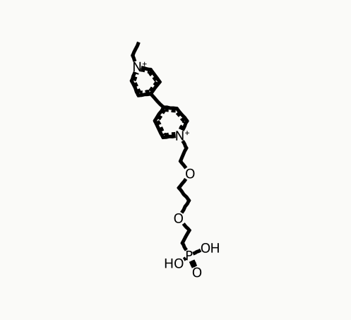 CC[n+]1ccc(-c2cc[n+](CCOCCOCCP(=O)(O)O)cc2)cc1